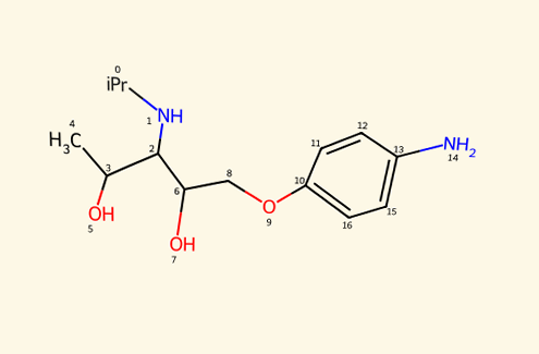 CC(C)NC(C(C)O)C(O)COc1ccc(N)cc1